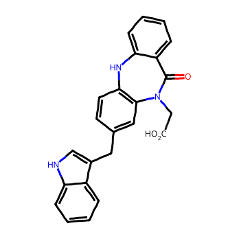 O=C(O)CN1C(=O)c2ccccc2Nc2ccc(Cc3c[nH]c4ccccc34)cc21